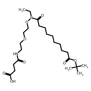 CCN(OCCOCCNC(=O)CCC(=O)O)C(=O)CCCCCCCCC(=O)OC(C)(C)C